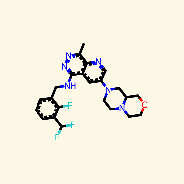 Cc1nnc(NCc2cccc(C(F)F)c2F)c2cc(N3CCN4CCOCC4C3)cnc12